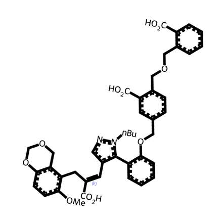 CCCCn1ncc(/C=C(\Cc2c(OC)ccc3c2COCO3)C(=O)O)c1-c1ccccc1OCc1ccc(COCc2ccccc2C(=O)O)c(C(=O)O)c1